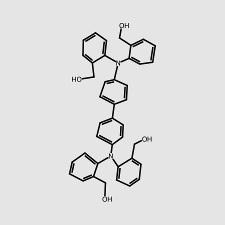 OCc1ccccc1N(c1ccc(-c2ccc(N(c3ccccc3CO)c3ccccc3CO)cc2)cc1)c1ccccc1CO